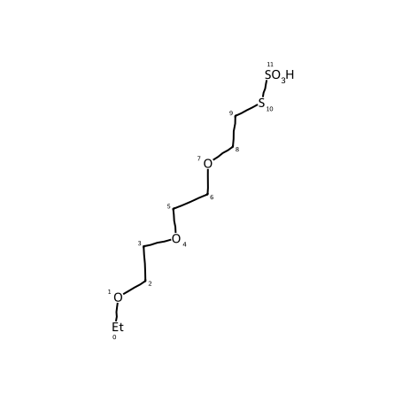 CCOCCOCCOCCSS(=O)(=O)O